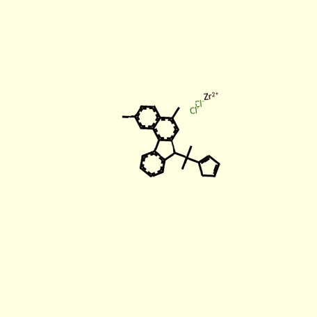 Cc1ccc2c(C)cc3c(c2c1)-c1ccccc1C3C(C)(C)C1=CC=CC1.[Cl-].[Cl-].[Zr+2]